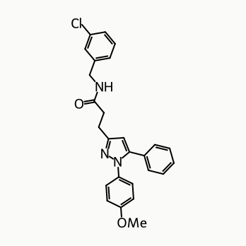 COc1ccc(-n2nc(CCC(=O)NCc3cccc(Cl)c3)cc2-c2ccccc2)cc1